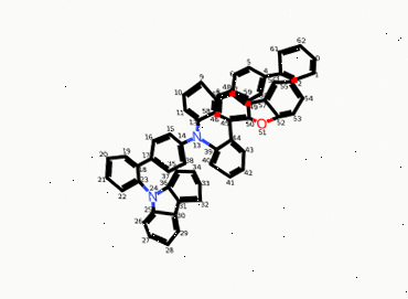 c1ccc(-c2ccc(-c3cccc(N(c4ccc(-c5ccccc5-n5c6ccccc6c6ccccc65)cc4)c4ccccc4-c4cccc5c4oc4ccccc45)c3)cc2)cc1